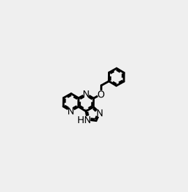 c1ccc(COc2nc3cccnc3c3[nH]cnc23)cc1